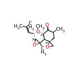 CO[C@@H]1C(=O)C(C)C[C@]2(CO2)C1C1(C)O[C@@H]1CC=C(C)C